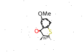 COc1ccc2c(c1)C(=O)[C@H](C)[C@@H](C)S2